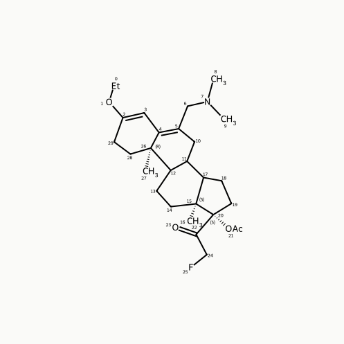 CCOC1=CC2=C(CN(C)C)CC3C(CC[C@@]4(C)C3CC[C@@]4(OC(C)=O)C(=O)CF)[C@@]2(C)CC1